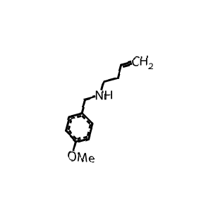 C=CCCNCc1ccc(OC)cc1